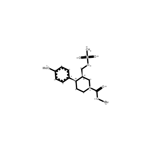 COc1ccc([C@@H]2CCN(C(=O)OC(C)(C)C)C[C@@H]2COS(C)(=O)=O)cc1